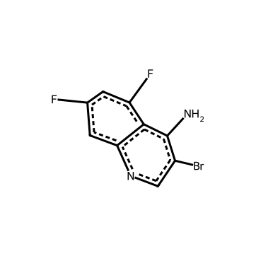 Nc1c(Br)cnc2cc(F)cc(F)c12